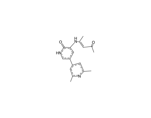 CC(=O)C=C(C)Nc1cc(-c2cc(C)nc(C)c2)c[nH]c1=O